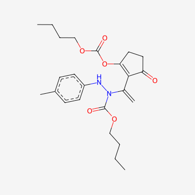 C=C(C1=C(OC(=O)OCCCC)CCC1=O)N(Nc1ccc(C)cc1)C(=O)OCCCC